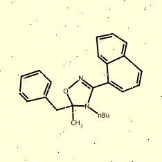 CCCCN1C(c2cccc3ccccc23)=NOC1(C)Cc1ccccc1